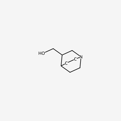 OCC1CN2CCC1CC2